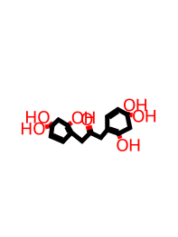 O=C(CC1=C(O)CC(O)(O)C=C1)CC1=C(O)CC(O)(O)C=C1